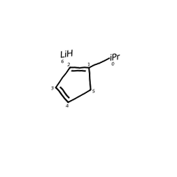 CC(C)C1=CC=CC1.[LiH]